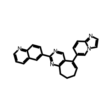 C1=C(c2ccc3nccn3c2)c2cnc(-c3ccc4ncccc4c3)nc2CCC1